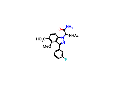 COc1c(C(=O)O)ccc2c1c(-c1cccc(F)c1)nn2C(NC(C)=O)C(N)=O